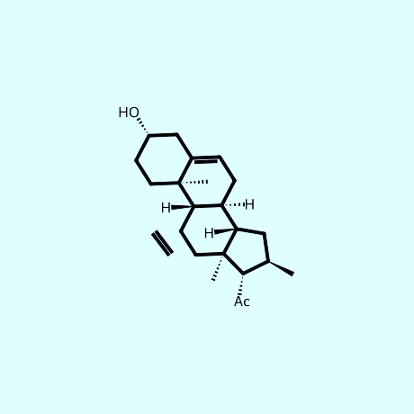 C=C.CC(=O)[C@H]1[C@H](C)C[C@H]2[C@@H]3CC=C4C[C@@H](O)CC[C@]4(C)[C@H]3CC[C@@]21C